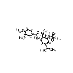 C=C(C)c1cc(NC(=O)c2ccc(C)c(O)c2)c(OC)c(NS(C)(=O)=O)c1